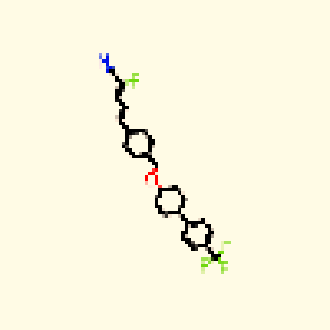 N#CC(F)=CC=CC1CCC(COC2CCC(c3ccc(C(F)(F)F)cc3)CC2)CC1